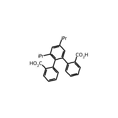 CC(C)c1cc(-c2ccccc2C(=O)O)c(-c2ccccc2C(=O)O)c(C(C)C)c1